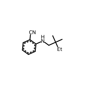 CCC(C)(C)CNc1ccccc1C#N